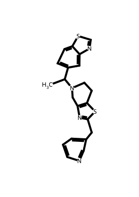 CC(c1ccc2scnc2c1)N1CCc2sc(Cc3cccnc3)nc2C1